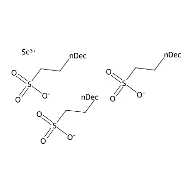 CCCCCCCCCCCCS(=O)(=O)[O-].CCCCCCCCCCCCS(=O)(=O)[O-].CCCCCCCCCCCCS(=O)(=O)[O-].[Sc+3]